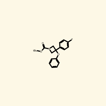 CC(C)(C)OC(=O)N1CC(Oc2ccccc2)(c2ccc(F)cc2)C1